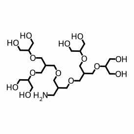 NCC(COCC(COC(CO)CO)COC(CO)CO)COCC(COC(CO)CO)COC(CO)CO